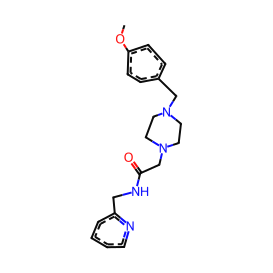 COc1ccc(CN2CCN(CC(=O)NCc3ccccn3)CC2)cc1